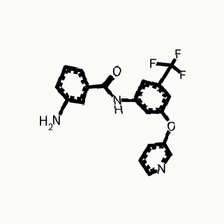 Nc1cccc(C(=O)Nc2cc(Oc3cccnc3)cc(C(F)(F)F)c2)c1